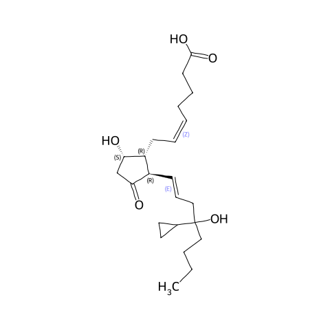 CCCCC(O)(C/C=C/[C@H]1C(=O)C[C@H](O)[C@@H]1C/C=C\CCCC(=O)O)C1CC1